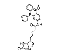 COC(=O)c1ccc(NC(=O)CCCC[C@H]2SCC3NC(=O)NC32)cc1P(c1ccccc1)c1ccccc1